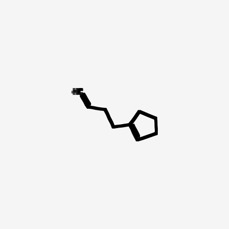 [CH]=CCCC1=CCCC1